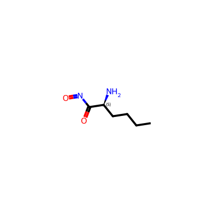 CCCC[C@H](N)C(=O)N=O